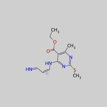 CCOC(=O)c1c(C)nc(SC)nc1N/C=C\C=N